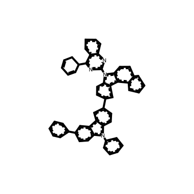 C1=CCC(c2nc(-n3c4ccc(-c5ccc6c(c5)c5cc(-c7ccccc7)ccc5n6-c5ccccc5)cc4c4c5ccccc5ccc43)nc3ccccc23)C=C1